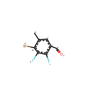 Cc1cc(C=O)c(F)c(F)c1Br